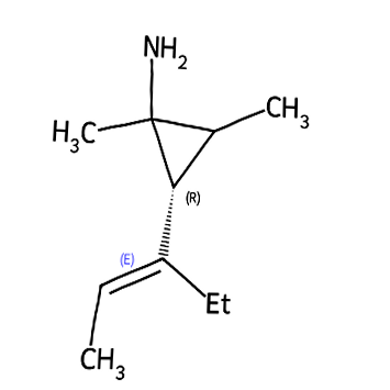 C/C=C(\CC)[C@H]1C(C)C1(C)N